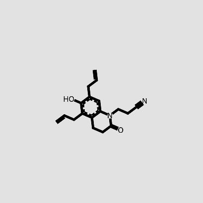 C=CCc1cc2c(c(CC=C)c1O)CCC(=O)N2CCC#N